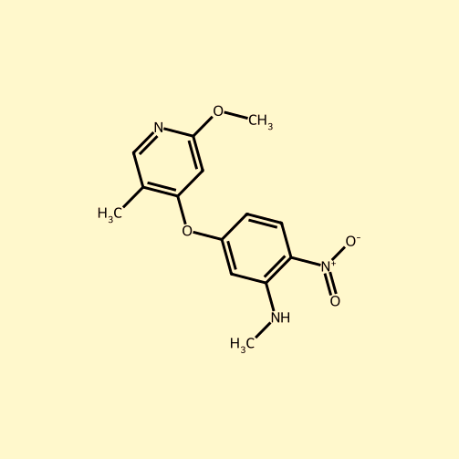 CNc1cc(Oc2cc(OC)ncc2C)ccc1[N+](=O)[O-]